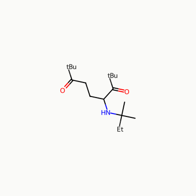 CCC(C)(C)NC(CCC(=O)C(C)(C)C)C(=O)C(C)(C)C